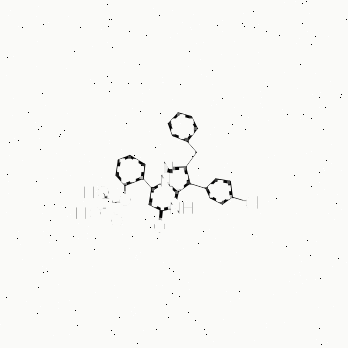 O=c1cc(-c2ccccc2OP(=O)(O)O)n2nc(Cc3ccccc3)c(-c3ccc(Cl)cc3)c2[nH]1